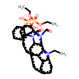 CCOP(=O)(OCC)c1ccc2ccc3c4ccc5ccc6c(c5)c3c(c(c4N(C=O)c3ccccc3P(=O)(O)O)n(C=O)c1c2)n6CC